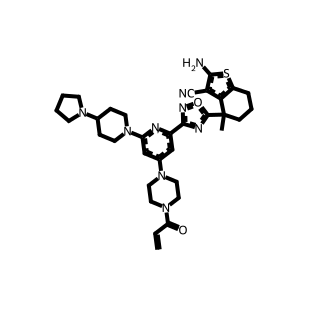 C=CC(=O)N1CCN(c2cc(-c3noc(C4(C)CCCc5sc(N)c(C#N)c54)n3)nc(N3CCC(N4CCCC4)CC3)c2)CC1